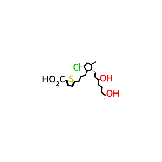 C[C@@H]1C[C@@H](Cl)[C@H](CCCc2ccc(C(=O)O)s2)[C@H]1/C=C/[C@@H](O)CCC[C@@H](C)O